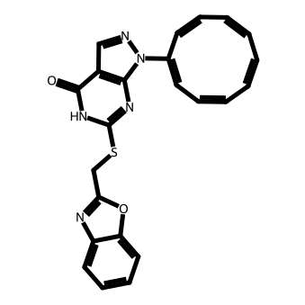 O=c1[nH]c(SCc2nc3ccccc3o2)nc2c1cnn2-c1ccccccccc1